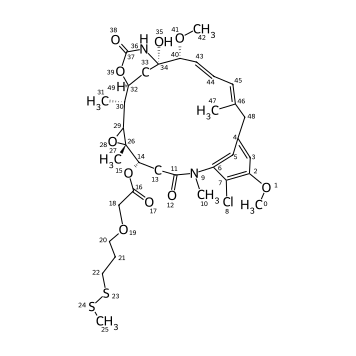 COc1cc2cc(c1Cl)N(C)C(=O)C[C@H](OC(=O)COCCCSSC)[C@]1(C)OC1[C@H](C)[C@@H]1C[C@@](O)(NC(=O)O1)[C@H](OC)/C=C/C=C(\C)C2